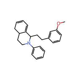 COc1cccc(CCC2C3=CC=CCC3CCN2c2ccccc2)c1